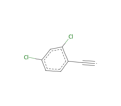 [C]#Cc1ccc(Cl)cc1Cl